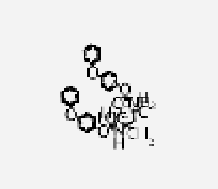 CC(C)(CC(C)(C)NC(=O)Oc1ccc(Oc2ccccc2)cc1)NC(=O)Oc1ccc(Oc2ccccc2)cc1